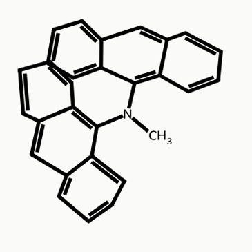 CN(c1c2ccccc2cc2ccccc12)c1c2ccccc2cc2ccccc12